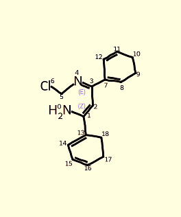 N/C(=C\C(=N/CCl)C1=CCCC=C1)C1=CC=CCC1